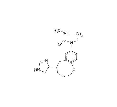 CCN(C(=O)NC)c1ccc2c(c1)CC(C1CNC=N1)CCCO2